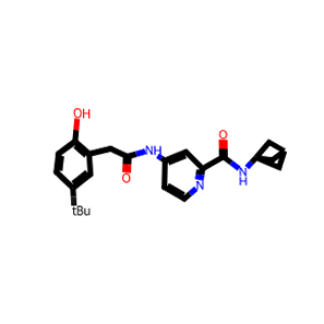 CC(C)(C)c1ccc(O)c(CC(=O)Nc2ccnc(C(=O)NC34CC(C3)C4)c2)c1